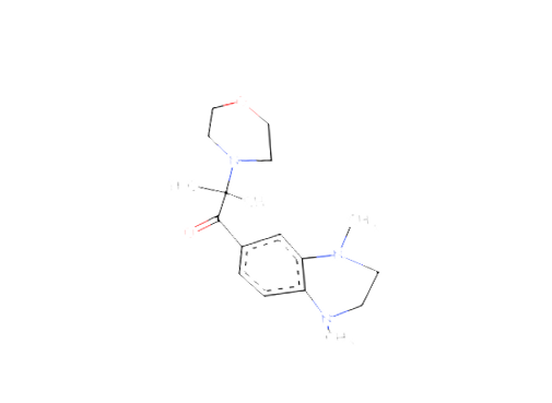 CN1CCN(C)c2cc(C(=O)C(C)(C)N3CCOCC3)ccc21